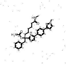 CNC(=O)CCCCC[C@@](Cc1ccccc1)(OC(N)=O)c1ncc(-c2ccc(-c3ccn(C)n3)cc2)[nH]1